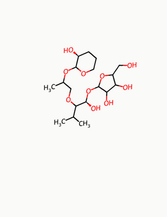 CC(COC(C(C)C)[C@H](O)OC1OC(CO)C(O)C1O)OC1OCCC[C@@H]1O